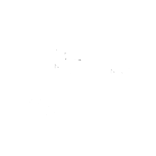 C[C@H]([C@H](C(=O)Nc1cccc(CC2(C(=O)O)CC2)c1)C1C=CC(CN2Cc3ccccc3C2=O)=CC1)C(F)(F)F